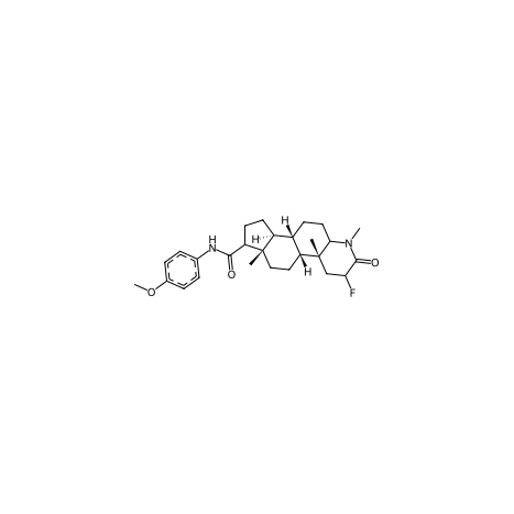 COc1ccc(NC(=O)C2CC[C@H]3[C@@H]4CCC5N(C)C(=O)C(F)C[C@]5(C)[C@@H]4CC[C@]23C)cc1